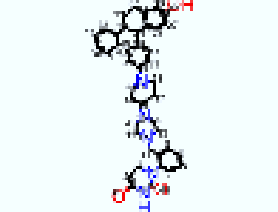 O=C1CCN(c2ccccc2CN2CCN(C3CCN(c4ccc(C5c6ccc(O)cc6CCC5c5ccccc5)cc4)CC3)CC2)C(=O)N1